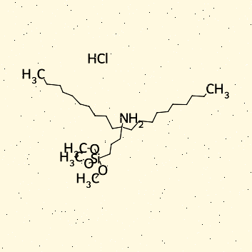 CCCCCCCCCCC(N)(CCCCCCCCCC)CCC[Si](OC)(OC)OC.Cl